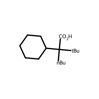 CCCCC(C(=O)O)(C1CCCCC1)C(C)(C)C